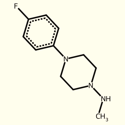 CNN1CCN(c2ccc(F)cc2)CC1